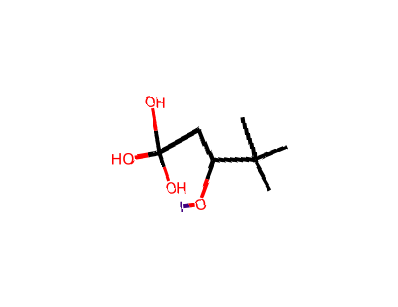 CC(C)(C)C(CC(O)(O)O)OI